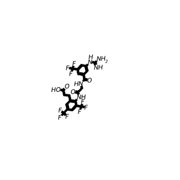 N=C(N)Nc1cc(C(=O)NCC(=O)Nc2c(CCC(=O)O)cc(C(F)(F)F)cc2C(F)(F)F)cc(C(F)(F)F)c1